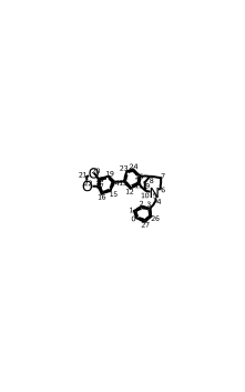 c1ccc(CN2CCC3CC2c2cc(-c4ccc5c(c4)OCO5)ccc23)cc1